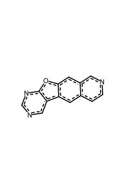 c1cc2cc3c(cc2cn1)oc1ncncc13